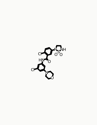 O=C(Nc1cc(Cl)cc(N2CCOCC2)c1)c1cc(N2CCNS2(=O)=O)ccc1Cl